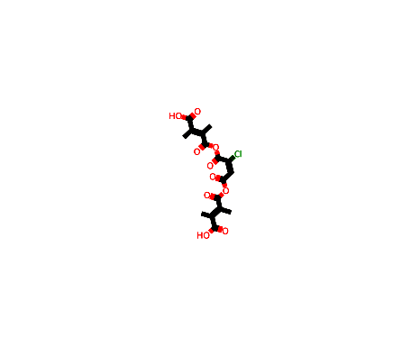 C/C(C(=O)O)=C(/C)C(=O)OC(=O)/C=C(/Cl)C(=O)OC(=O)/C(C)=C(\C)C(=O)O